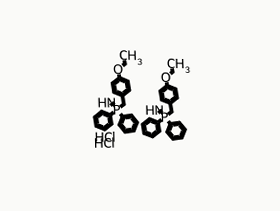 CCOc1ccc(CP(=N)(c2ccccc2)c2ccccc2)cc1.CCOc1ccc(CP(=N)(c2ccccc2)c2ccccc2)cc1.Cl.Cl